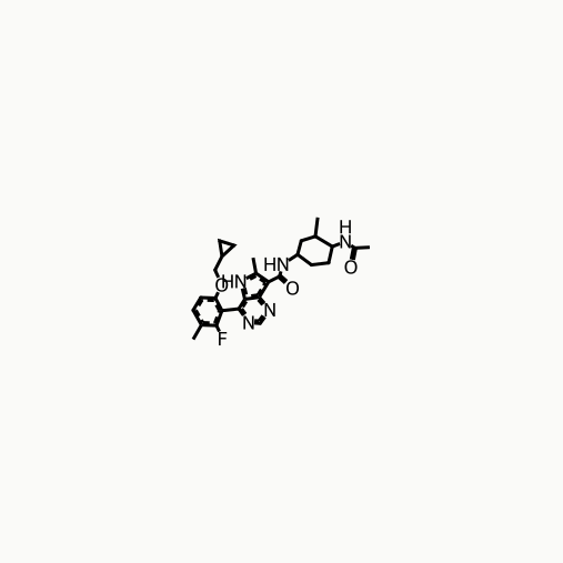 CC(=O)NC1CCC(NC(=O)c2c(C)[nH]c3c(-c4c(OCC5CC5)ccc(C)c4F)ncnc23)CC1C